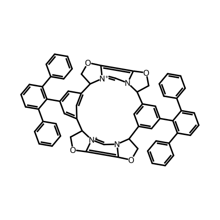 c1ccc(-c2cccc(-c3ccccc3)c2-c2cc3cc(c2)C2COc4c5[n+](cn42)C(CO5)c2cc(-c4c(-c5ccccc5)cccc4-c4ccccc4)cc(c2)C2COc4c5n(c[n+]42)C3CO5)cc1